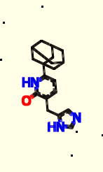 O=c1[nH]c(C23CC4CC(CC(C4)C2)C3)ccc1Cc1cnc[nH]1